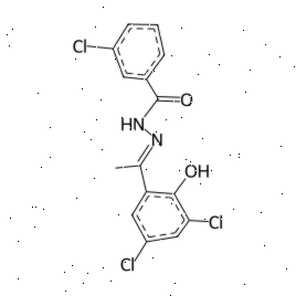 C/C(=N\NC(=O)c1cccc(Cl)c1)c1cc(Cl)cc(Cl)c1O